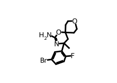 CC1(c2cc(Br)ccc2F)CC2(CCOCC2)OC(N)=N1